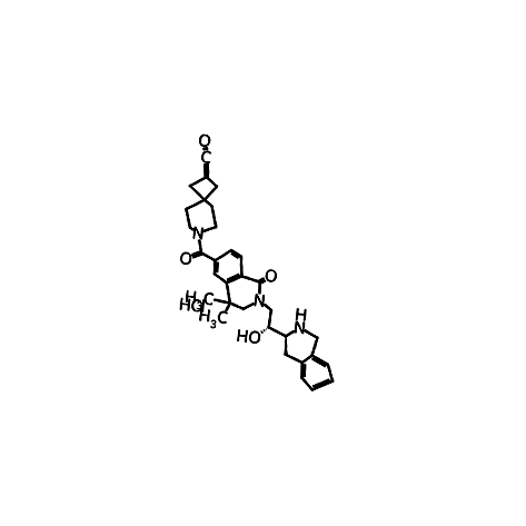 CC1(C)CN(C[C@@H](O)[C@@H]2Cc3ccccc3CN2)C(=O)c2ccc(C(=O)N3CCC4(CC3)CC(=C=O)C4)cc21.Cl